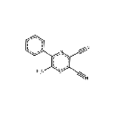 N#Cc1nc(N)c(-c2ccccc2)nc1C#N